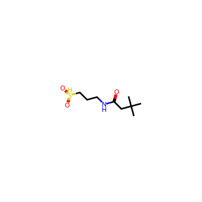 CC(C)(C)CC(=O)NCCC[SH](=O)=O